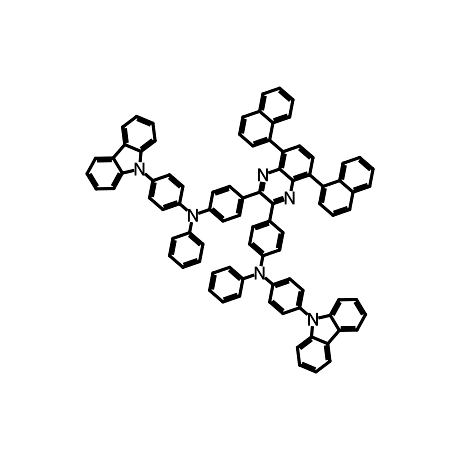 c1ccc(N(c2ccc(-c3nc4c(-c5cccc6ccccc56)ccc(-c5cccc6ccccc56)c4nc3-c3ccc(N(c4ccccc4)c4ccc(-n5c6ccccc6c6ccccc65)cc4)cc3)cc2)c2ccc(-n3c4ccccc4c4ccccc43)cc2)cc1